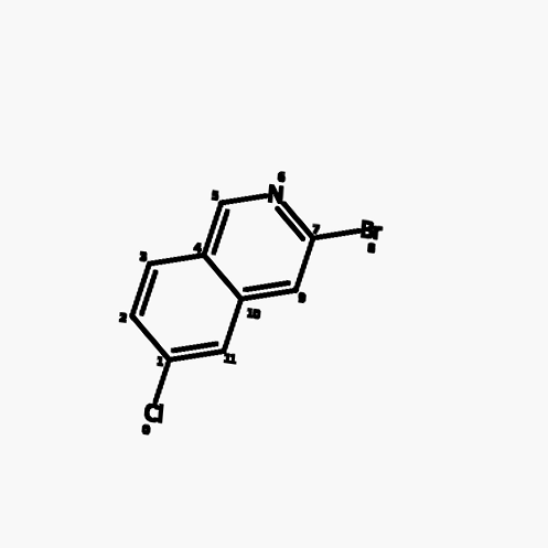 Clc1ccc2cnc(Br)cc2c1